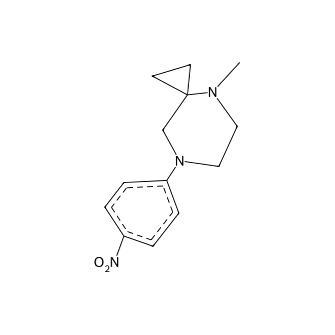 CN1CCN(c2ccc([N+](=O)[O-])cc2)CC12CC2